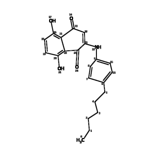 CCCCCCc1ccc(NC2=CC(=O)c3c(O)ccc(O)c3C2=O)cc1